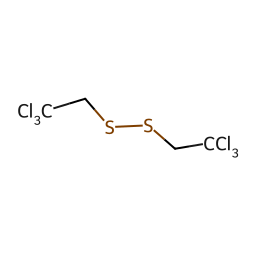 ClC(Cl)(Cl)CSSCC(Cl)(Cl)Cl